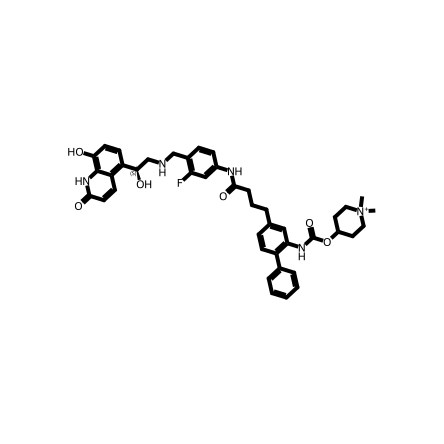 C[N+]1(C)CCC(OC(=O)Nc2cc(CCCC(=O)Nc3ccc(CNC[C@@H](O)c4ccc(O)c5[nH]c(=O)ccc45)c(F)c3)ccc2-c2ccccc2)CC1